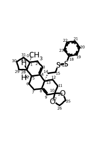 C[C@]12CC=C3[C@@H](CCC4=CC5(CC[C@@]43CCSSc3ccccc3)OCCO5)[C@@H]1CCC2